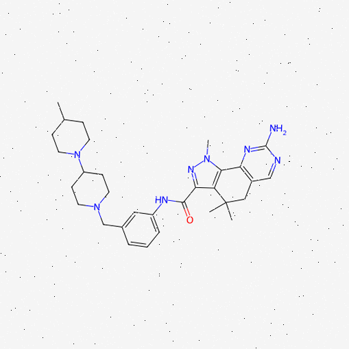 CC1CCN(C2CCN(Cc3cccc(NC(=O)c4nn(C)c5c4C(C)(C)Cc4cnc(N)nc4-5)c3)CC2)CC1